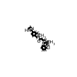 CN(Cc1ccc(C2=NCCN2)cc1F)C(=O)/C=C/CN(C)S(=O)(=O)c1ccccc1Cl